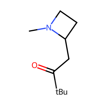 CN1CCC1CC(=O)C(C)(C)C